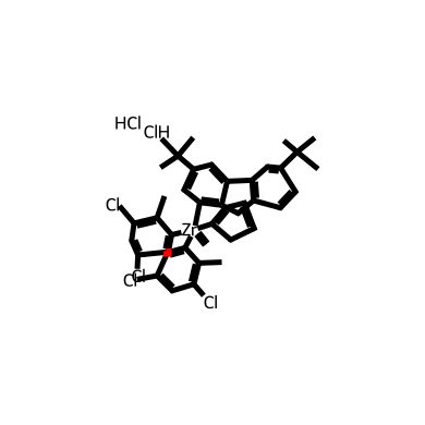 Cl.Cl.[CH2]=[Zr]([C]1=CC=CC1)([c]1cc(Cl)cc(Cl)c1C)([c]1cc(Cl)cc(Cl)c1C)[c]1cc(C(C)(C)C)cc2c1Cc1ccc(C(C)(C)C)cc1-2